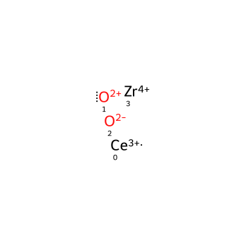 [Ce+3].[O+2].[O-2].[Zr+4]